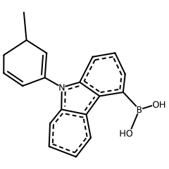 CC1C=C(n2c3ccccc3c3c(B(O)O)cccc32)C=CC1